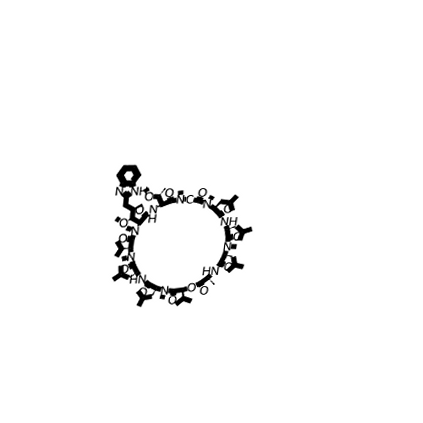 CO[C@H]([C@H](C)Cc1nc2ccccc2[nH]1)[C@@H]1C(=O)N[C@H]([C@@H](C)OC)C(=O)N(C)CC(=O)N(C)[C@@H](CC(C)C)C(=O)N[C@H](CC(C)C)C(=O)N(C)[C@H](CC(C)C)C(=O)N[C@H](C)C(=O)O[C@@H](C(C)C)C(=O)N(C)[C@H](CC(C)C)C(=O)N[C@H](CC(C)C)C(=O)N(C)[C@H](C(C)C)C(=O)N1C